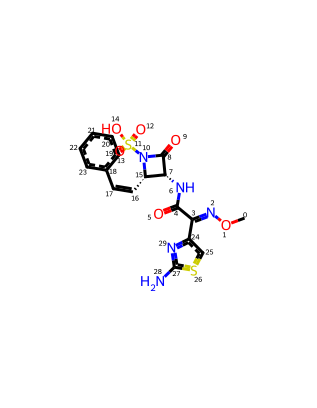 CON=C(C(=O)N[C@H]1C(=O)N(S(=O)(=O)O)[C@H]1/C=C\c1ccccc1)c1csc(N)n1